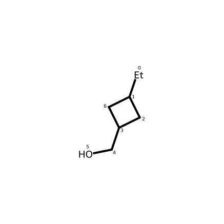 CCC1CC(CO)C1